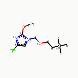 CC(C)Oc1nc(Cl)cn1COCC[Si](C)(C)C